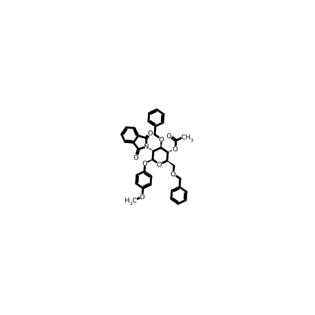 COc1ccc(O[C@@H]2O[C@H](COCc3ccccc3)[C@@H](OC(C)=O)[C@H](OCc3ccccc3)[C@H]2N2C(=O)c3ccccc3C2=O)cc1